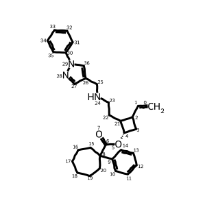 C=CC1C[C@H](OC(=O)C2(c3ccccc3)CCCCCC2)C1CCNCc1cnn(-c2ccccc2)c1